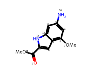 COC(=O)c1cc2c(OC)cc(N)cc2[nH]1